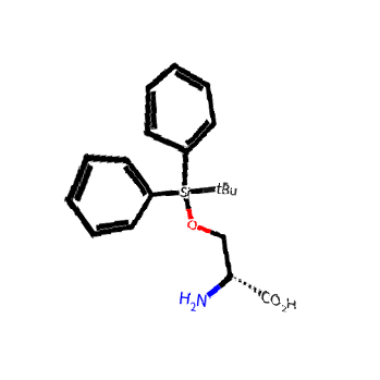 CC(C)(C)[Si](OC[C@@H](N)C(=O)O)(c1ccccc1)c1ccccc1